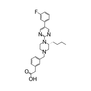 CCCC[C@@H]1CN(Cc2cccc(CC(=O)O)c2)CCN1c1ncc(-c2cccc(F)c2)cn1